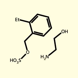 CCc1ccccc1COS(=O)(=O)O.NCCO